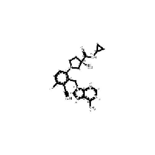 C#Cc1c(F)ccc(N2CC[C@](N)(C(=O)NC3CC3)C2)c1Cn1cnc2c(N)ncnc21